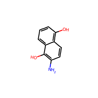 Nc1ccc2c(O)cccc2c1O